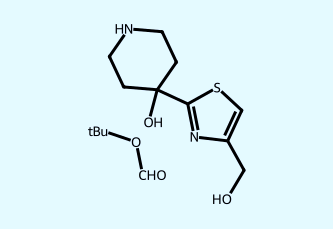 CC(C)(C)OC=O.OCc1csc(C2(O)CCNCC2)n1